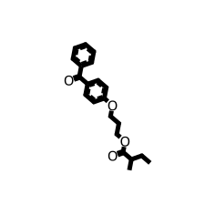 CCC(C)C(=O)OCCCOc1ccc(C(=O)c2ccccc2)cc1